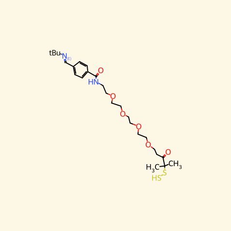 CC(C)(C)/N=C/c1ccc(C(=O)NCCOCCOCCOCCOCCC(=O)C(C)(C)SS)cc1